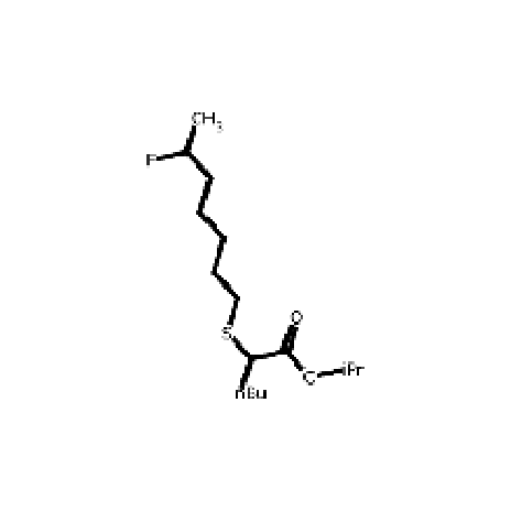 CCCCC(SCCCCCC(C)F)C(=O)OC(C)C